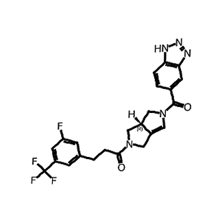 O=C(c1ccc2[nH]nnc2c1)N1C=C2CN(C(=O)CCc3cc(F)cc(C(F)(F)F)c3)C[C@@H]2C1